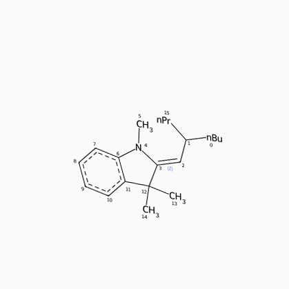 CCCCC(/C=C1\N(C)c2ccccc2C1(C)C)CCC